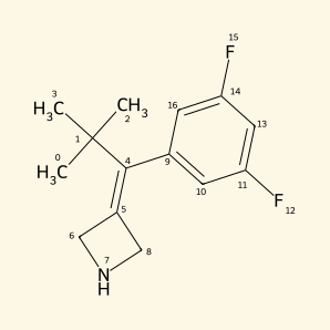 CC(C)(C)C(=C1CNC1)c1cc(F)cc(F)c1